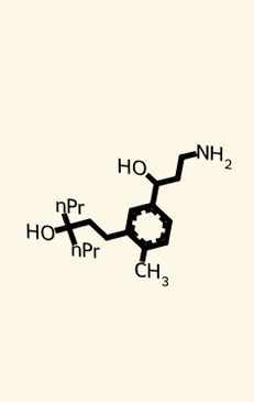 CCCC(O)(CCC)CCc1cc(C(O)CCN)ccc1C